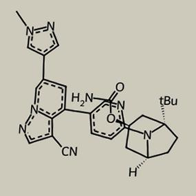 Cn1cc(-c2cc(-c3ccc(N4[C@H]5CC[C@]4(C(C)(C)C)C[C@H](OC(N)=O)C5)nc3)c3c(C#N)cnn3c2)cn1